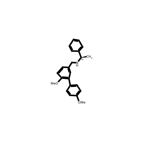 COc1ccc(-c2cc(CN[C@H](C)c3ccccc3)ccc2OC)cc1